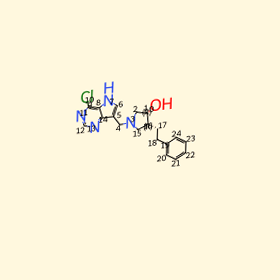 O[C@H]1CN(Cc2c[nH]c3c(Cl)ncnc23)C[C@H]1CCc1ccccc1